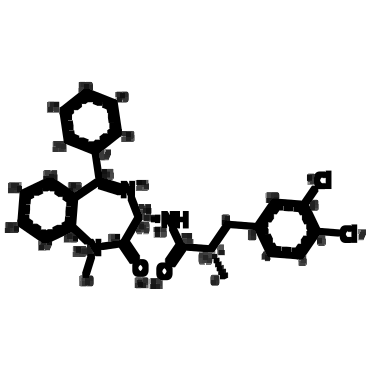 C[C@@H](Cc1ccc(Cl)c(Cl)c1)C(=O)N[C@H]1N=C(c2ccccc2)c2ccccc2N(C)C1=O